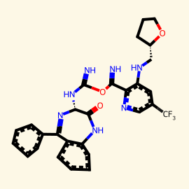 N=C(N[C@H]1N=C(c2ccccc2)c2ccccc2NC1=O)OC(=N)c1ncc(C(F)(F)F)cc1NC[C@@H]1CCCO1